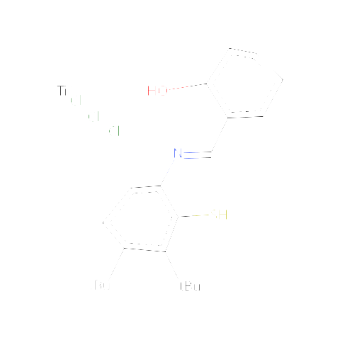 CC(C)(C)c1ccc(N=Cc2ccccc2O)c(S)c1C(C)(C)C.[Cl-].[Cl-].[Cl-].[Ti+3]